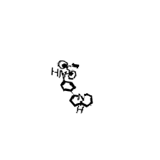 C=CS(=O)(=O)Nc1ccc([C@H]2CC[C@H]3CCCCN32)cc1